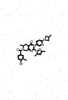 Cc1cc(C)n(-c2nc3c(c(=O)n2-c2ccc(N4CC(C)C4)nc2)CC(C)N(C(=O)c2ccc(Br)c(C)c2)C3)n1